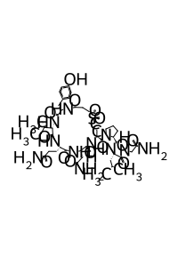 CC[C@H](C)[C@@H]1NC(=O)[C@H](Cc2ccc(O)cc2)NC(=O)CCS(=O)(=O)CC[C@@H](C(=O)N2CCC[C@H]2C(=O)N[C@@H](CC(C)C)C(=O)NCC(N)=O)NC(=O)[C@H](CC(N)=O)NC(=O)[C@H](CCC(N)=O)NC1=O